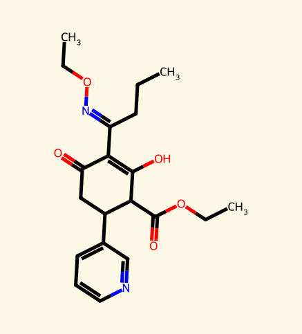 CCCC(=NOCC)C1=C(O)C(C(=O)OCC)C(c2cccnc2)CC1=O